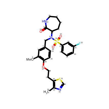 COc1cc(CN(C2CCCCNC2=O)S(=O)(=O)c2cccc(F)c2)ccc1OCCc1scnc1C